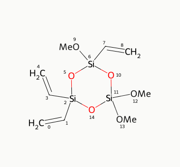 C=C[Si]1(C=C)O[Si](C=C)(OC)O[Si](OC)(OC)O1